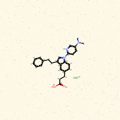 CN(C)c1ccc(-n2cc(CCc3ccccc3)c3cc(CCC(=O)O)ccc32)nc1.Cl